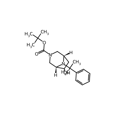 CC(C)(C)OC(=O)N1C[C@@H]2C[C@@H](O)[C@H](C1)N2C(C)(C)c1ccccc1